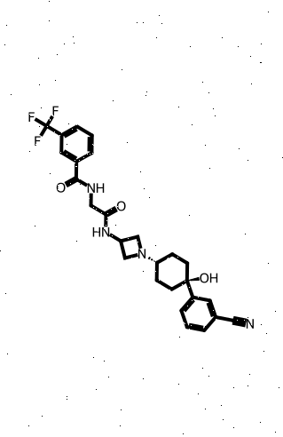 N#Cc1cccc([C@]2(O)CC[C@H](N3CC(NC(=O)CNC(=O)c4cccc(C(F)(F)F)c4)C3)CC2)c1